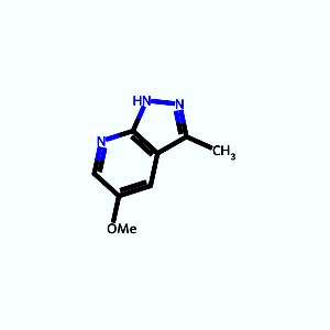 COc1cnc2[nH]nc(C)c2c1